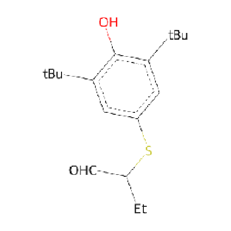 CCC(C=O)Sc1cc(C(C)(C)C)c(O)c(C(C)(C)C)c1